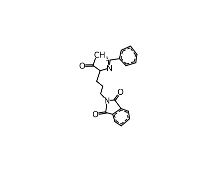 CC(=O)C(CCCN1C(=O)c2ccccc2C1=O)/N=C/c1ccccc1